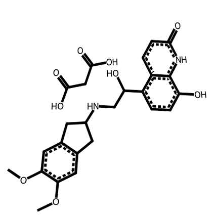 COc1cc2c(cc1OC)CC(NCC(O)c1ccc(O)c3[nH]c(=O)ccc13)C2.O=C(O)CC(=O)O